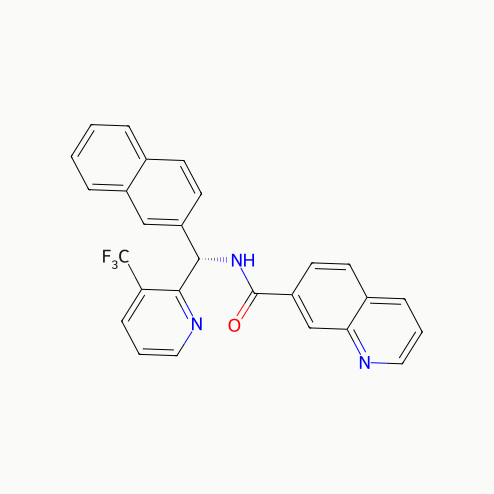 O=C(N[C@@H](c1ccc2ccccc2c1)c1ncccc1C(F)(F)F)c1ccc2cccnc2c1